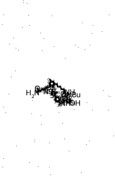 Cc1cc(CCCCCC(=O)N[C@H](C(=O)N2C[C@H](O)C[C@H]2C(=O)N[C@@H](C)c2ccc(-c3scnc3C)cc2)C(C)(C)C)c(F)c(OC[C@@H](N)CCC(N)=O)c1